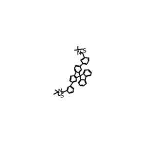 CC1(C)CSC(c2cccc(-c3ccc4c(c3)C3(c5ccccc5-c5ccccc53)c3cc(-c5cccc(C6=NC(C)(C)CS6)c5)ccc3-4)c2)=N1